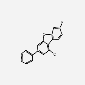 Fc1ccc2c(c1)oc1cc(-c3ccccc3)cc(Cl)c12